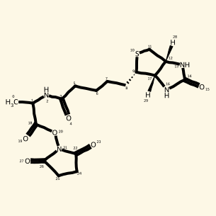 CC(NC(=O)CCCC[C@@H]1SC[C@@H]2NC(=O)N[C@@H]21)C(=O)ON1C(=O)CCC1=O